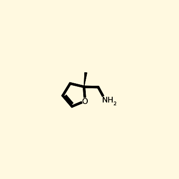 C[C@]1(CN)CC=CO1